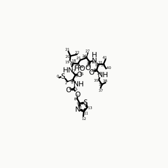 CSC[C@H](NC(=O)OCc1nc(C)cs1)C(=O)N[C@H](CC(C)C)[C@@H](O)C[C@@H](C)C(=O)N[C@@H](C(=O)NCC(C)C)C(C)C